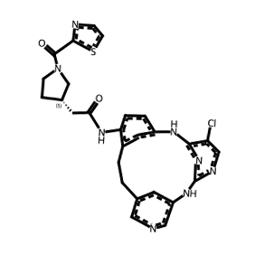 O=C(C[C@@H]1CCN(C(=O)c2nccs2)C1)Nc1ccc2cc1CCc1cncc(c1)Nc1ncc(Cl)c(n1)N2